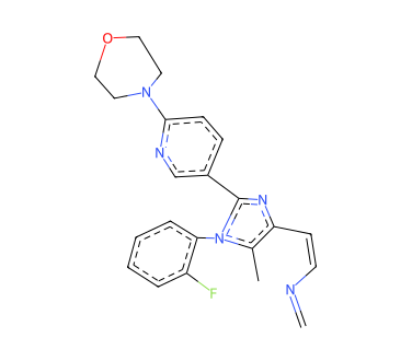 C=N/C=C\c1nc(-c2ccc(N3CCOCC3)nc2)n(-c2ccccc2F)c1C